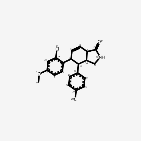 COc1ccc(C2C=CC3C(=O)NCC3C2c2ccc(Cl)cc2)c(Cl)c1